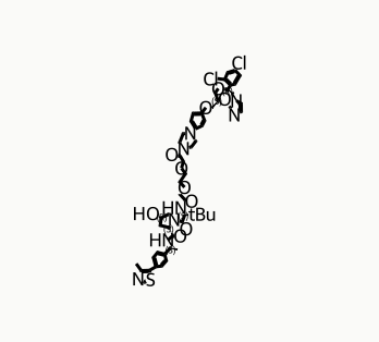 Cc1ncsc1-c1ccc([C@H](C)NC(=O)[C@@H]2C[C@@H](O)CN2C(=O)[C@@H](NC(=O)COCCOCC(=O)N2CCN(c3ccc(OC[C@H]4CO[C@](Cn5ccnc5)(c5ccc(Cl)cc5Cl)O4)cc3)CC2)C(C)(C)C)cc1